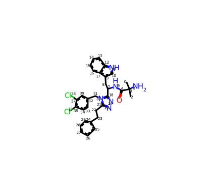 CC(C)(N)C(=O)NC(Cc1c[nH]c2ccccc12)c1nnc(CCc2ccccc2)n1Cc1ccc(Cl)c(Cl)c1